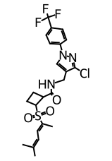 CC(C)=C/C=C(\C)S(=O)(=O)C1CCC1C(=O)NCc1cn(-c2ccc(C(F)(F)F)cc2)nc1Cl